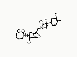 Cc1ccc(C(F)(F)C(=O)NCc2scc3c2CN(N2CCCCOO2)C3=O)cc1Cl